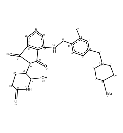 Cc1cc(CN2CCC(C(C)(C)C)CC2)ccc1CNc1cccc2c1C(=O)N(C1CCC(=O)NC1O)C2=O